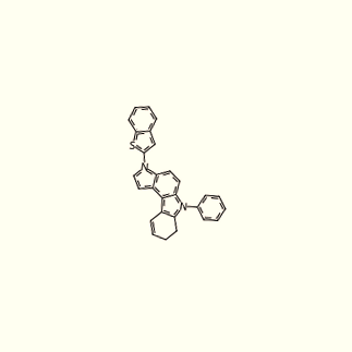 C1=Cc2c(n(-c3ccccc3)c3ccc4c(ccn4-c4cc5ccccc5s4)c23)CC1